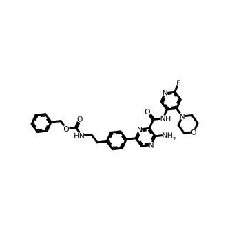 Nc1ncc(-c2ccc(CCNC(=O)OCc3ccccc3)cc2)nc1C(=O)Nc1cnc(F)cc1N1CCOCC1